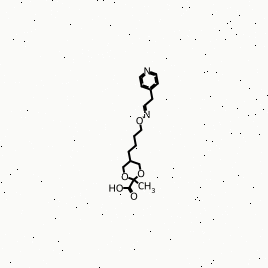 CC1(C(=O)O)OCC(CCCCON=CCc2ccncc2)CO1